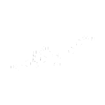 CCCC(CCCCc1ccc(-c2ccc(C(=O)O)cc2)cc1)CC1(C)CCC(C)(C)c2cc(C(=O)Nc3ccc(C(=O)O)cc3)ccc21